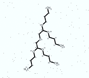 CCCCOC(COCC(OCCCC)OCCCC)OCCCC